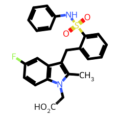 Cc1c(Cc2ccccc2S(=O)(=O)Nc2ccccc2)c2cc(F)ccc2n1CC(=O)O